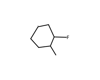 CC1CC[CH]CC1F